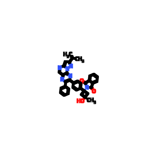 C=C(C)c1cc2ncc3nc(-c4ccccc4)c(-c4ccc([C@]5(N6C(=O)c7ccccc7C6=O)C[C@](C)(O)C5)cc4)nc3n2n1